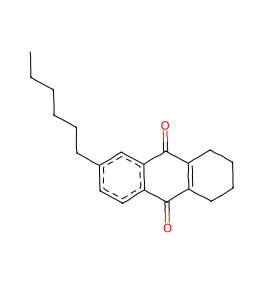 CCCCCCc1ccc2c(c1)C(=O)C1=C(CCCC1)C2=O